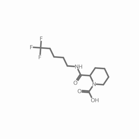 O=C(NCCCCC(F)(F)F)C1CCCCN1C(=O)O